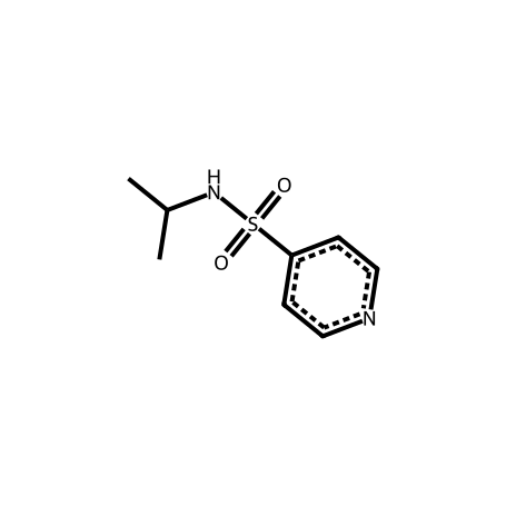 CC(C)NS(=O)(=O)c1ccncc1